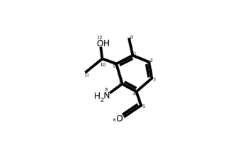 Cc1ccc(C=O)c(N)c1C(C)O